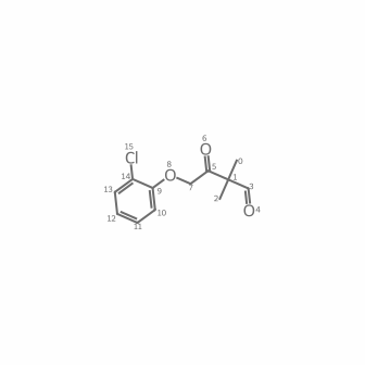 CC(C)(C=O)C(=O)COc1ccccc1Cl